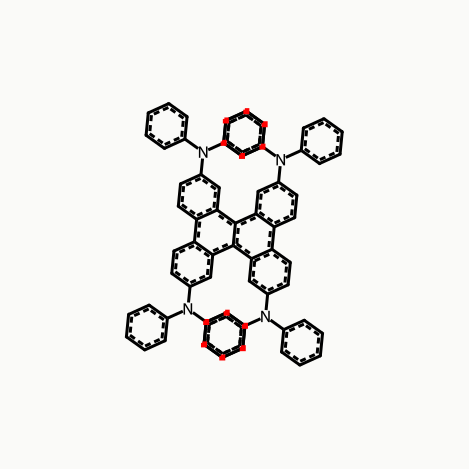 c1ccc(N(c2ccccc2)c2ccc3c4ccc(N(c5ccccc5)c5ccccc5)cc4c4c5cc(N(c6ccccc6)c6ccccc6)ccc5c5ccc(N(c6ccccc6)c6ccccc6)cc5c4c3c2)cc1